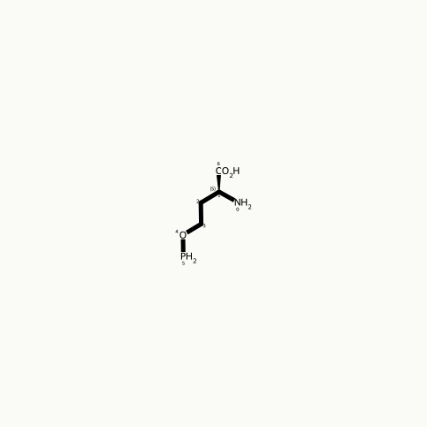 N[C@@H](CCOP)C(=O)O